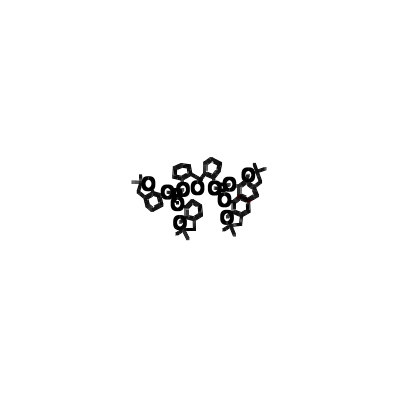 CC1(C)Cc2cccc(OP(Oc3ccccc3C(=O)c3ccccc3OP(Oc3cccc4c3OC(C)(C)C4)Oc3cccc4c3OC(C)(C)C4)Oc3cccc4c3OC(C)(C)C4)c2O1